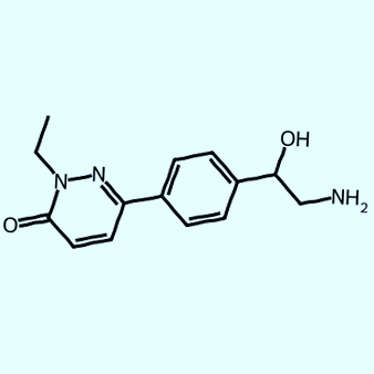 CCn1nc(-c2ccc(C(O)CN)cc2)ccc1=O